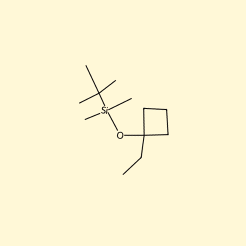 CCC1(O[Si](C)(C)C(C)(C)C)CCC1